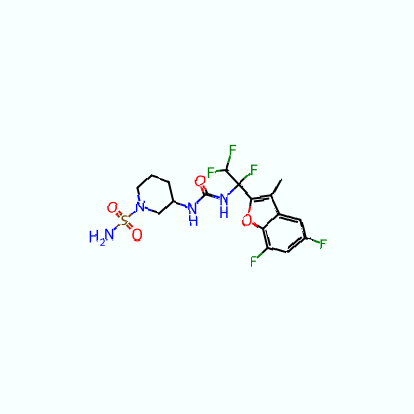 Cc1c(C(F)(NC(=O)NC2CCCN(S(N)(=O)=O)C2)C(F)F)oc2c(F)cc(F)cc12